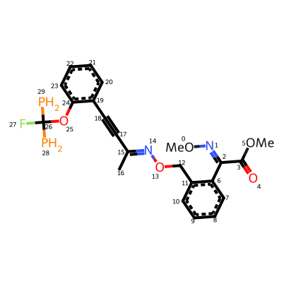 CO/N=C(/C(=O)OC)c1ccccc1CO/N=C(\C)C#Cc1ccccc1OC(F)(P)P